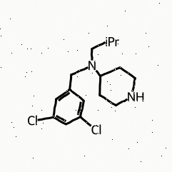 CC(C)CN(Cc1cc(Cl)cc(Cl)c1)C1CCNCC1